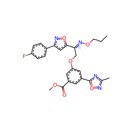 CCCO/N=C(\COc1cc(C(=O)OC)cc(-c2nc(C)no2)c1)c1cc(-c2ccc(F)cc2)no1